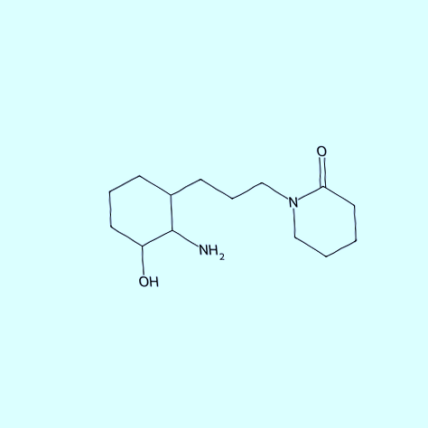 NC1C(O)CCCC1CCCN1CCCCC1=O